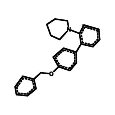 [c]1cccc(-c2ccc(OCc3ccccc3)cc2)c1N1CCCCC1